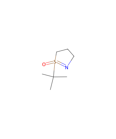 CC(C)(C)S1(=O)=NCCC1